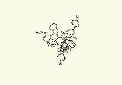 Cl.Cl.[CH2]=[Zr]([C]1=CC=CC1)([c]1ccc(-c2ccc(Cl)cc2)cc1)([c]1ccc(-c2ccc(Cl)cc2)cc1)[C]1(C)C2=C3Cc4ccccc4C3=C3C=CCCC3C2(C)C(C)(C)C(C)(C)C1(C)C